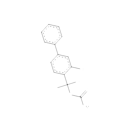 COC(=S)SC(C)(C(=O)O)c1ccc(-c2ccccc2)cc1Cl